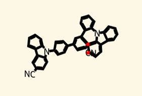 N#Cc1cc(-c2ccc(-n3c4ccccc4c4cc(C#N)ccc43)cc2)cc(-c2ccccc2-n2c3ccccc3c3ccccc32)c1